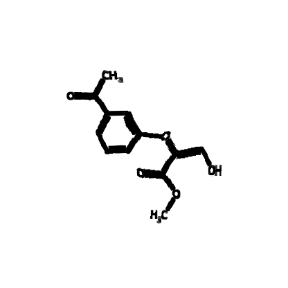 COC(=O)/C(=C\O)Oc1cccc(C(C)=O)c1